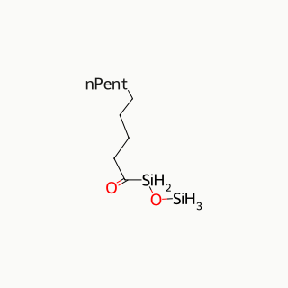 CCCCCCCCCC(=O)[SiH2]O[SiH3]